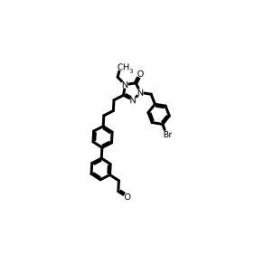 CCn1c(CCCc2ccc(-c3cccc(CC=O)c3)cc2)nn(Cc2ccc(Br)cc2)c1=O